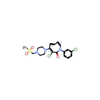 CC(C)S(=O)(=O)CN1CCN(C2=C(/Cl)C(=O)N(c3cccc(Cl)c3)\C=C/C=C/2)CC1